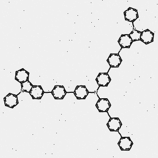 c1ccc(-c2ccc(-c3ccc(N(c4ccc(-c5ccc(-c6ccc7c(c6)c6ccccc6n7-c6ccccc6)cc5)cc4)c4ccc(-c5ccc(-c6ccc7c(c6)c6ccccc6n7-c6ccccc6)cc5)cc4)cc3)cc2)cc1